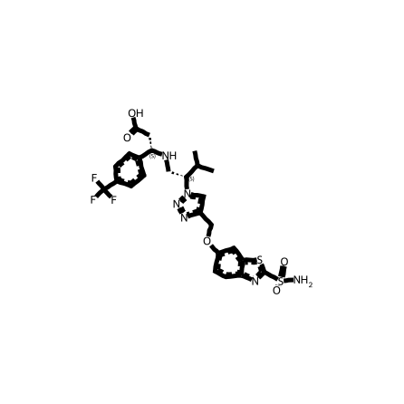 CC(C)[C@@H](CN[C@@H](CC(=O)O)c1ccc(C(F)(F)F)cc1)n1cc(COc2ccc3nc(S(N)(=O)=O)sc3c2)nn1